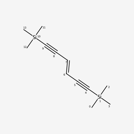 C[Si](C)(C)C#C/C=C/C#C[Si](C)(C)C